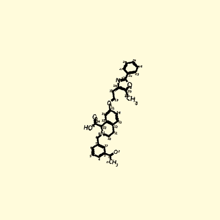 CC(=O)c1cccc(CN2CCc3ccc(OCCc4nc(-c5ccccc5)oc4C)cc3C2C(=O)O)c1